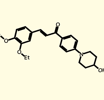 CCCOc1ccc(C=CC(=O)c2ccc(N3CCC(O)CC3)cc2)cc1OCC